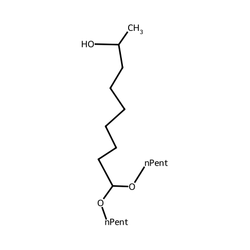 CCCCCOC(CCCCCCC(C)O)OCCCCC